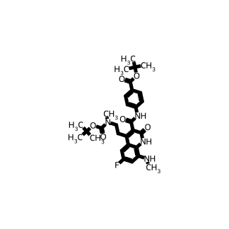 CNc1cc(F)cc2c(CCN(C)C(=O)OC(C)(C)C)c(C(=O)Nc3ccc(C(=O)OC(C)(C)C)cc3)c(=O)[nH]c12